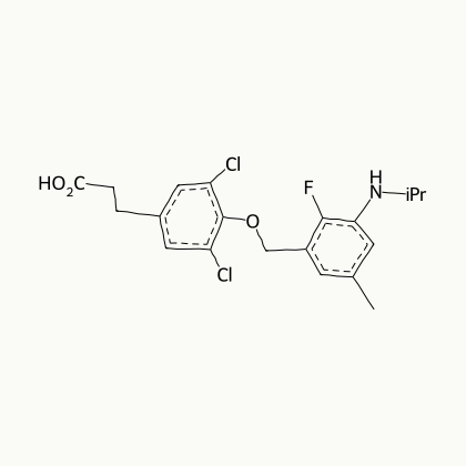 Cc1cc(COc2c(Cl)cc(CCC(=O)O)cc2Cl)c(F)c(NC(C)C)c1